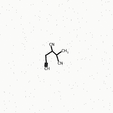 C#CCC(C#N)C(C)C#N